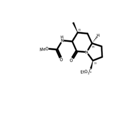 CCOC(=O)[C@@H]1CC[C@@H]2C[C@H](C)C(NC(=O)OC)C(=O)N21